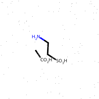 CC(=O)O.NCCS(=O)(=O)O